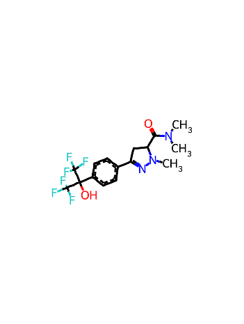 CN(C)C(=O)C1CC(c2ccc(C(O)(C(F)(F)F)C(F)(F)F)cc2)=NN1C